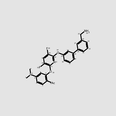 CC(=O)c1ccc(N(C)C)cc1Oc1nc(Oc2cccc(-c3cccc(CN)c3)c2)c(F)cc1F